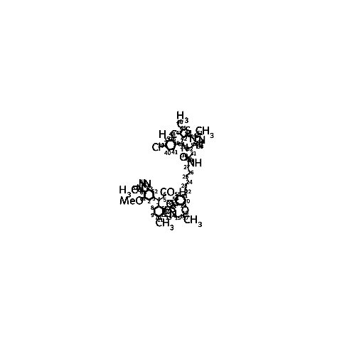 COc1cc(C(CC(=O)O)c2ccc(C)c(CN3C[C@@H](C)Oc4cc(CCCCCCNC(=O)C[C@@H]5N=C(c6ccc(Cl)cc6)c6c(sc(C)c6C)-n6c(C)nnc65)ccc4S3(=O)=O)c2)cc2nnn(C)c12